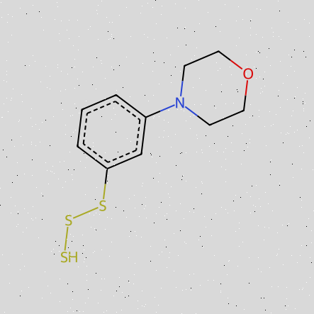 SSSc1cccc(N2CCOCC2)c1